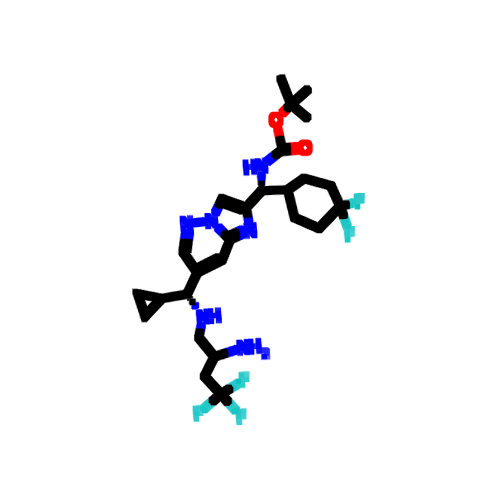 CC(C)(C)OC(=O)N[C@H](c1cn2ncc([C@H](NCC(N)CC(F)(F)F)C3CC3)cc2n1)C1CCC(F)(F)CC1